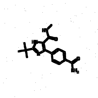 CNC(=O)c1[nH]c(C(C)(C)C)nc1-c1ccc(C(N)=O)cc1